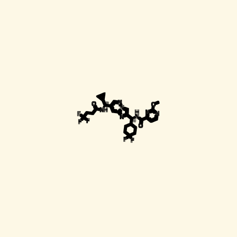 COc1nccc(C(=O)N[C@H](c2cn3ncc([C@H](NC(=O)CCC(F)(F)F)C4CC4)cc3n2)C2CCC(F)(F)CC2)n1